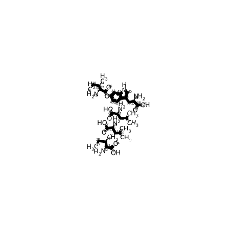 CC(C)C[C@H](N)C(=O)O.CC(C)C[C@H](N)C(=O)O.CC[C@H](C)[C@H](N)C(=O)O.CC[C@H](C)[C@H](N)C(=O)O.N[C@@H](Cc1c[nH]c2ccccc12)C(=O)O